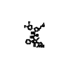 COCCN1C[C@@H](NC(=O)NC2=C(C)C(=C3C=CNN3C)NN2c2ccccc2)[C@H](c2ccc(F)c(F)c2)C1